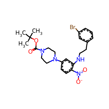 CC(C)(C)OC(=O)N1CCN(c2ccc([N+](=O)[O-])c(NCCc3cccc(Br)c3)c2)CC1